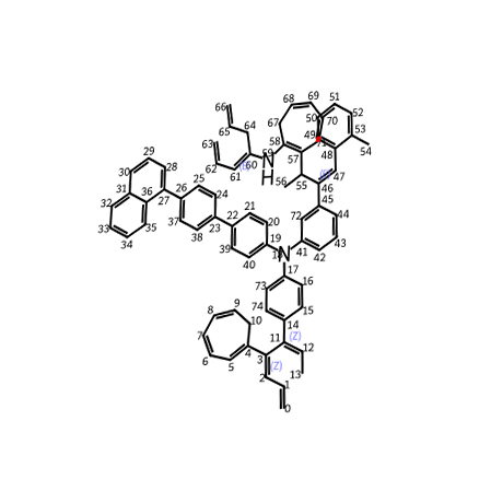 C=C/C=C(C1=CC=CC=CC1)\C(=C/C)c1ccc(N(c2ccc(-c3ccc(-c4cccc5ccccc45)cc3)cc2)c2cccc(/C(=C/c3ccccc3C)C(C)C3=C(N/C(=C/C=C)CC=C)CC=CC=C3)c2)cc1